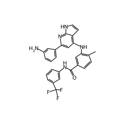 Cc1ccc(C(=O)Nc2cccc(C(F)(F)F)c2)cc1Nc1cc(-c2cccc(N)c2)nc2[nH]ccc12